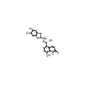 CCc1cc2c(cc1CC)CC(NC[C@H](O)c1ccc(OC(C)=O)c3[nH]c(=O)ccc13)C2